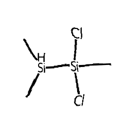 C[SiH](C)[Si](C)(Cl)Cl